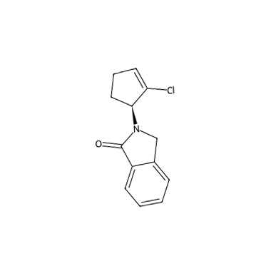 O=C1c2ccccc2CN1[C@H]1CCC=C1Cl